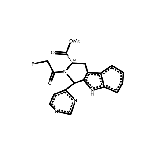 COC(=O)[C@@H]1Cc2c([nH]c3ccccc23)C(c2ccncn2)N1C(=O)CF